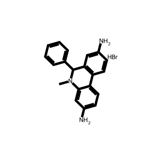 Br.CN1c2cc(N)ccc2-c2ccc(N)cc2C1c1ccccc1